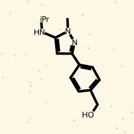 CC(C)Nc1cc(-c2ccc(CO)cc2)nn1C